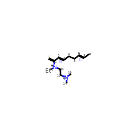 C=C(/C=C/CC/C=C/C)N(CC)CCN(C)C